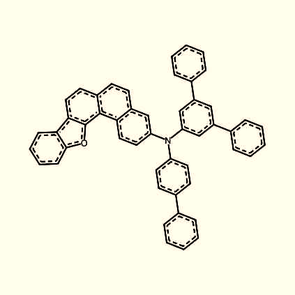 c1ccc(-c2ccc(N(c3cc(-c4ccccc4)cc(-c4ccccc4)c3)c3ccc4c(ccc5ccc6c7ccccc7oc6c54)c3)cc2)cc1